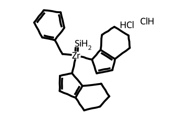 Cl.Cl.[SiH2]=[Zr]([CH2]c1ccccc1)([CH]1C=CC2=C1CCCC2)[CH]1C=CC2=C1CCCC2